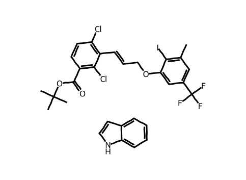 Cc1cc(C(F)(F)F)cc(OCC=Cc2c(Cl)ccc(C(=O)OC(C)(C)C)c2Cl)c1I.c1ccc2[nH]ccc2c1